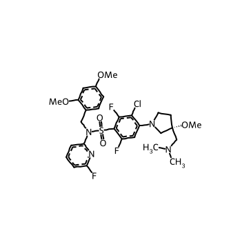 COc1ccc(CN(c2cccc(F)n2)S(=O)(=O)c2c(F)cc(N3CC[C@](CN(C)C)(OC)C3)c(Cl)c2F)c(OC)c1